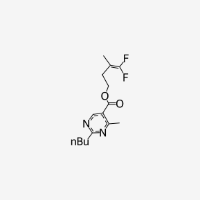 CCCCc1ncc(C(=O)OCCC(C)=C(F)F)c(C)n1